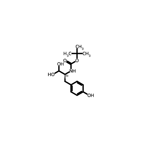 CC(C)(C)OC(=O)N[C@@H](Cc1ccc(O)cc1)C(O)O